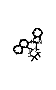 CCc1nc2ccccc2n1-c1ccc2ccccc2c1B1OC(C)(C)C(C)(C)O1